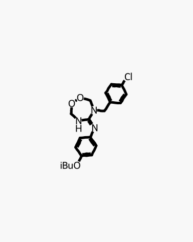 CC(C)COc1ccc(/N=C2\NCOOCN2Cc2ccc(Cl)cc2)cc1